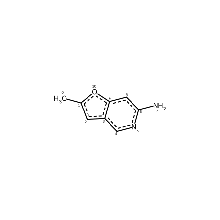 Cc1cc2cnc(N)cc2o1